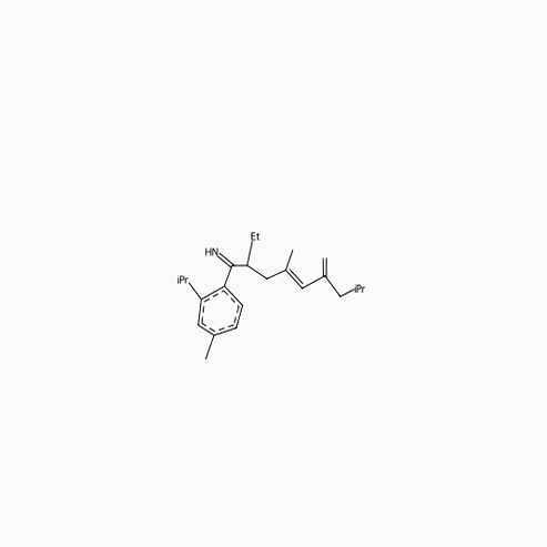 C=C(/C=C(\C)CC(CC)C(=N)c1ccc(C)cc1C(C)C)CC(C)C